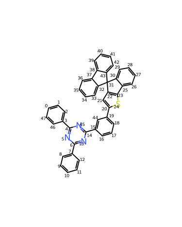 c1ccc(-c2nc(-c3ccccc3)nc(-c3cccc(-c4cc5c(s4)-c4ccccc4C54c5ccccc5-c5ccccc54)c3)n2)cc1